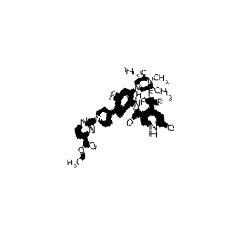 CCOC(=O)c1ccnc(N2CC=C(c3cc(NC(=O)c4c[nH]c(=O)cc4C(F)(F)F)c(N4C[C@@H](C)N(C)[C@@H](C)C4)cc3F)CC2)n1